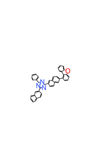 c1ccc(-c2nc(-c3ccc4ccccc4c3)nc(-c3ccc4cc(-c5cccc6oc7ccccc7c56)ccc4c3)n2)cc1